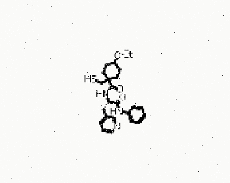 CCOC1CCC(CS)(C(=O)N[C@@H](Cc2cccnc2)C(=O)Nc2ccccc2)CC1